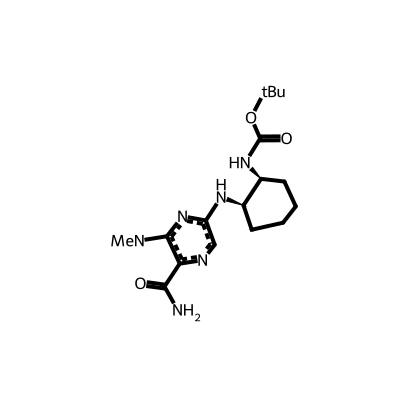 CNc1nc(N[C@@H]2CCCC[C@@H]2NC(=O)OC(C)(C)C)cnc1C(N)=O